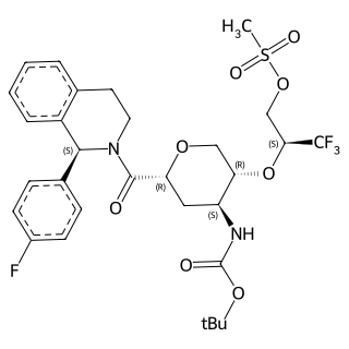 CC(C)(C)OC(=O)N[C@H]1C[C@H](C(=O)N2CCc3ccccc3[C@@H]2c2ccc(F)cc2)OC[C@@H]1O[C@@H](COS(C)(=O)=O)C(F)(F)F